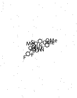 COc1cccc(-c2nnc(N(CC[Si](C)(C)C)S(=O)(=O)[C@@H](C)[C@H](O)c3ccc(F)cc3F)n2-c2c(OC)cccc2OC)c1